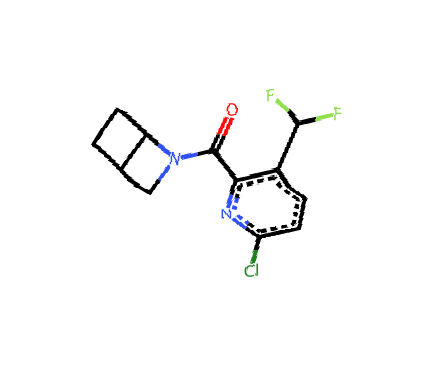 O=C(c1nc(Cl)ccc1C(F)F)N1CC2CCC21